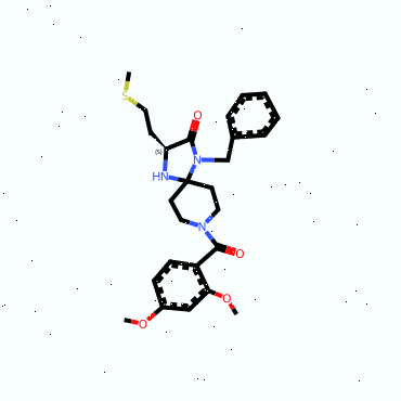 COc1ccc(C(=O)N2CCC3(CC2)N[C@@H](CCSC)C(=O)N3Cc2ccccc2)c(OC)c1